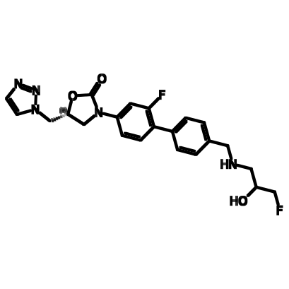 O=C1O[C@@H](Cn2ccnn2)CN1c1ccc(-c2ccc(CNCC(O)CF)cc2)c(F)c1